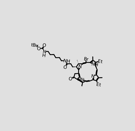 CCC1=C(C)c2cc3[nH]c(c(C)c3CC)c(Br)c3nc(c4c5[nH]c(cc1n2)c(C)c5C(=O)C4)[C@@H](CCC(=O)NCCCCCCNC(=O)OC(C)(C)C)[C@@H]3C